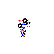 CCC1(CC)CN(c2ccccc2NC(=O)Nc2csc(Cl)n2)c2c(O)ccc(F)c21